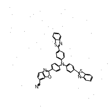 N#Cc1ccc2nc(-c3ccc(N(c4ccc(-c5nc6ccccc6s5)cc4)c4ccc(-c5nc6ccccc6s5)cc4)cc3)oc2c1